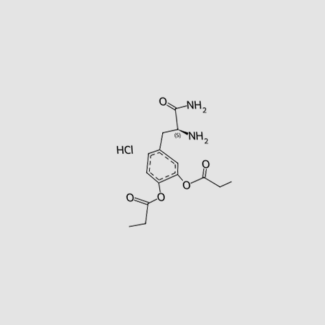 CCC(=O)Oc1ccc(C[C@H](N)C(N)=O)cc1OC(=O)CC.Cl